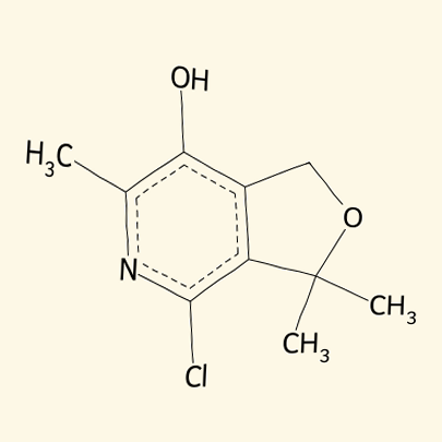 Cc1nc(Cl)c2c(c1O)COC2(C)C